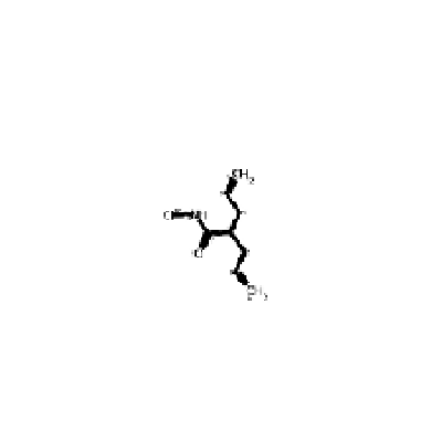 C=CCC(CC=C)C(=O)NCl